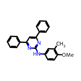 COc1ccc(Nc2nc(-c3ccccc3)cc(-c3ccccc3)n2)cc1C